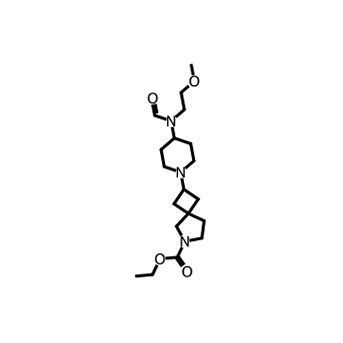 CCOC(=O)N1CCC2(CC(N3CCC(N(C=O)CCOC)CC3)C2)C1